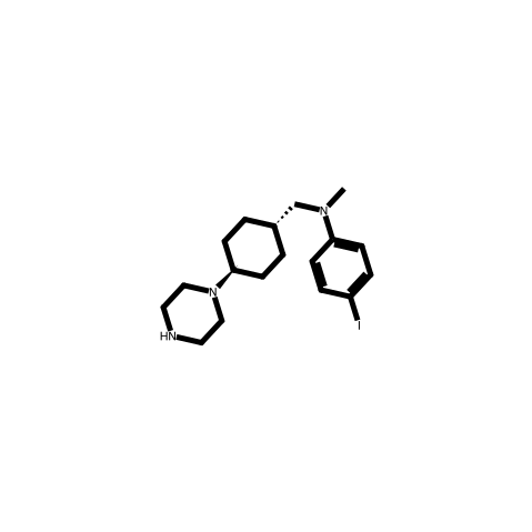 CN(C[C@H]1CC[C@H](N2CCNCC2)CC1)c1ccc(I)cc1